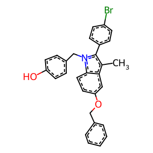 Cc1c(-c2ccc(Br)cc2)n(Cc2ccc(O)cc2)c2ccc(OCc3ccccc3)cc12